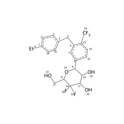 CCc1ccc(Cc2cc(C3OC(CO)C(F)(F)C(O)C3O)ccc2C(F)(F)F)cc1